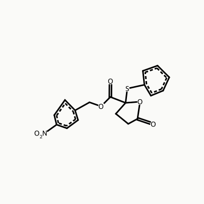 O=C1CCC(Sc2ccccc2)(C(=O)OCc2ccc([N+](=O)[O-])cc2)O1